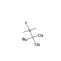 CCC(C)C(C#N)(C#N)[Si](C)(C)F